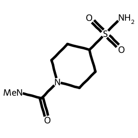 CNC(=O)N1CCC(S(N)(=O)=O)CC1